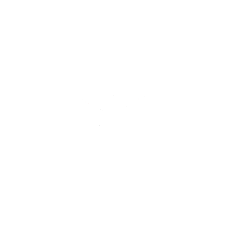 C=C1OCC(=O)OC1=O